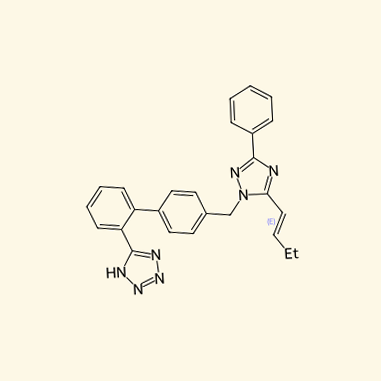 CC/C=C/c1nc(-c2ccccc2)nn1Cc1ccc(-c2ccccc2-c2nnn[nH]2)cc1